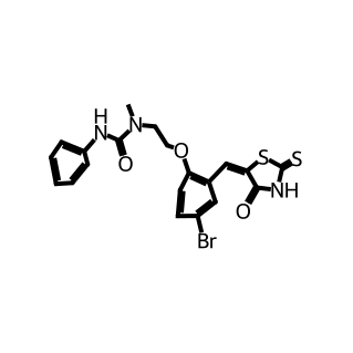 CN(CCOc1ccc(Br)cc1C=C1SC(=S)NC1=O)C(=O)Nc1ccccc1